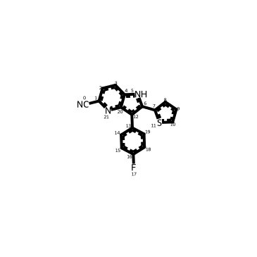 N#Cc1ccc2[nH]c(-c3cccs3)c(-c3ccc(F)cc3)c2n1